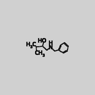 CC(C)C(O)CNCc1ccccc1